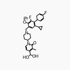 Cc1c(C(O)O)ccn(C2CCN(Cc3cc(C4CC4)c(C4C=CC(F)=CC4)c(F)c3OC(C)C)CC2)c1=O